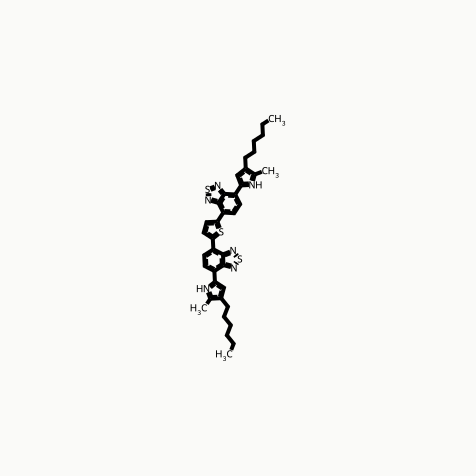 CCCCCCc1cc(-c2ccc(-c3ccc(-c4ccc(-c5cc(CCCCCC)c(C)[nH]5)c5nsnc45)s3)c3nsnc23)[nH]c1C